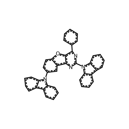 c1ccc(-c2nc(-n3c4ccccc4c4ccccc43)nc3c2oc2ccc(-n4c5ccccc5c5ccccc54)cc23)cc1